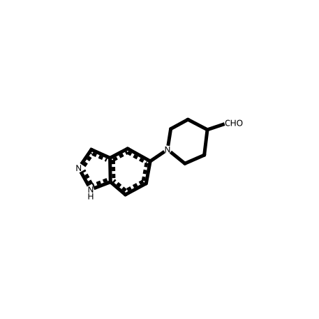 O=CC1CCN(c2ccc3[nH]ncc3c2)CC1